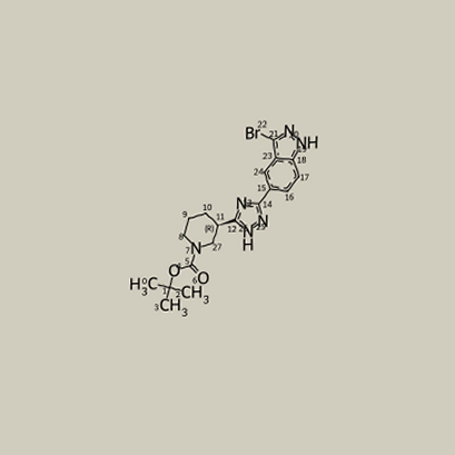 CC(C)(C)OC(=O)N1CCC[C@@H](c2nc(-c3ccc4[nH]nc(Br)c4c3)n[nH]2)C1